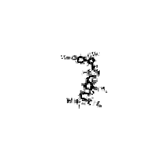 COc1ccc(-c2cc(C(=O)Nc3cc4ccc(OC5CCC(OC)C(C)(C)O5)c(C)c4oc3=O)ccc2OC)cc1